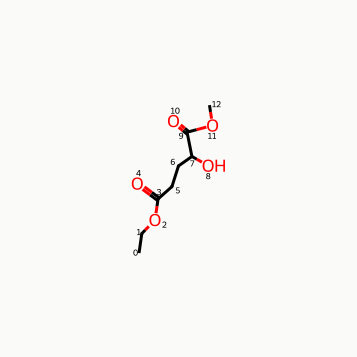 CCOC(=O)CCC(O)C(=O)OC